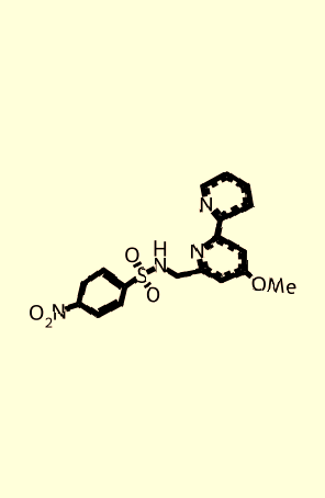 COc1cc(CNS(=O)(=O)C2=CCC([N+](=O)[O-])C=C2)nc(-c2ccccn2)c1